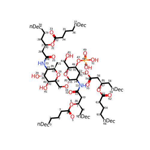 CCCCCCCCCCCCCC(=O)O[C@H](CCCCCCCCCCC)CC(=O)NC1[C@H](OCC2O[C@H](C)C(NC(=O)C[C@@H](CCCCCCCCCCCC)OC(=O)CCCCCCCCCCCCC)[C@@H](O)[C@@H]2O)OC(CO)[C@@H](OP(=O)(O)O)[C@@H]1OC(=O)C[C@@H](CCCCCCCCCCC)OC(=O)CCCCCCCCCCCCC